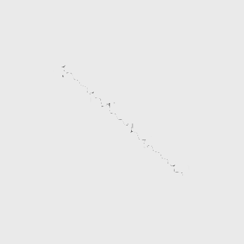 CC(=O)N(O)CCCCCNC(=O)CCC(=O)N(O)CCCCCNC(=O)CCC(=O)N(O)CCCCCNC(=O)CC(C)C